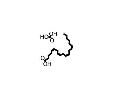 CCCCC/C=C\C/C=C\C/C=C\C/C=C\CCCC(=O)O.O=C(O)O